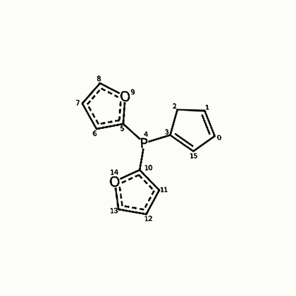 C1=CCC(P(c2ccco2)c2ccco2)=C1